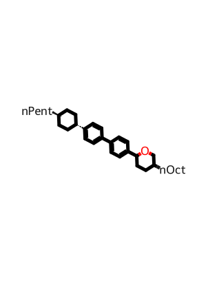 CCCCCCCCC1CCC(c2ccc(-c3ccc([C@H]4CC[C@H](CCCCC)CC4)cc3)cc2)OC1